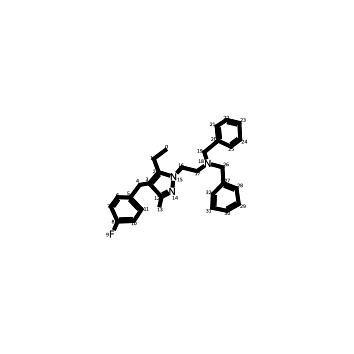 CCc1c(Cc2ccc(F)cc2)c(C)nn1CCN(Cc1ccccc1)Cc1ccccc1